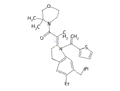 C=C(c1cccs1)N1/C(=C(\C)C(=O)N2CCOCC2(C)C)CCc2cc(CC)c(CC(C)C)cc21